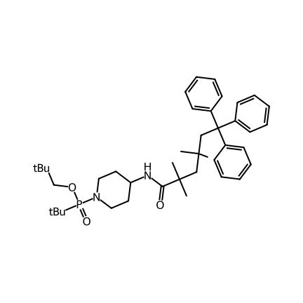 CC(C)(C)COP(=O)(N1CCC(NC(=O)C(C)(C)CC(C)(C)CC(c2ccccc2)(c2ccccc2)c2ccccc2)CC1)C(C)(C)C